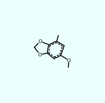 COc1cc(C)c2c(c1)OCO2